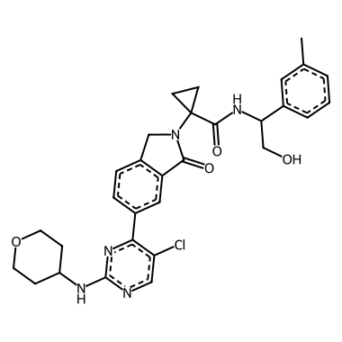 Cc1cccc(C(CO)NC(=O)C2(N3Cc4ccc(-c5nc(NC6CCOCC6)ncc5Cl)cc4C3=O)CC2)c1